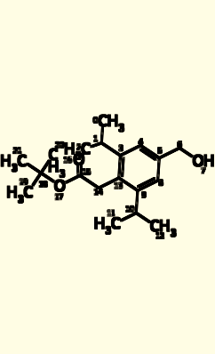 CC(C)c1cc(CO)cc(C(C)C)c1CC(=O)OC(C)(C)C